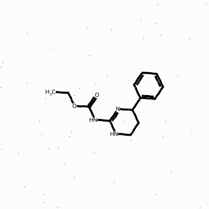 CCOC(=O)NC1=NC(c2ccccc2)CCN1